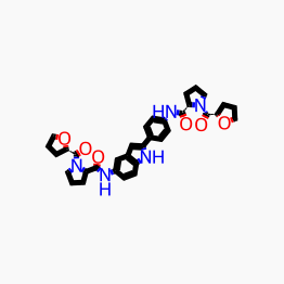 O=C(Nc1ccc2[nH]c(-c3ccc(NC(=O)[C@@H]4CCCN4C(=O)[C@@H]4CCCO4)cc3)cc2c1)C1CCCN1C(=O)[C@@H]1CCCO1